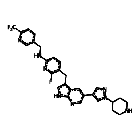 Fc1nc(NCc2ccc(C(F)(F)F)nc2)ccc1Cc1c[nH]c2ncc(-c3cnn(C4CCNCC4)c3)cc12